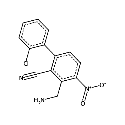 N#Cc1c(-c2ccccc2Cl)ccc([N+](=O)[O-])c1CN